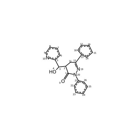 O=C1C(C(O)c2ccccn2)CC(c2ccccc2)=NN1c1ccccc1